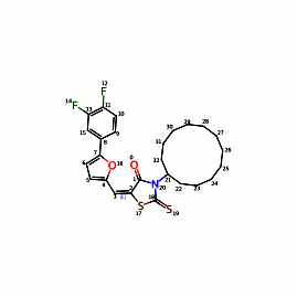 O=C1/C(=C\c2ccc(-c3ccc(F)c(F)c3)o2)SC(=S)N1C1CCCCCCCCCCC1